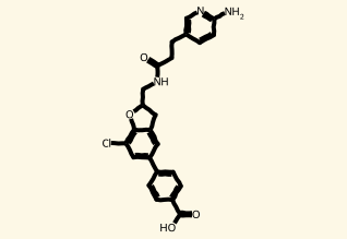 Nc1ccc(CCC(=O)NCC2Cc3cc(-c4ccc(C(=O)O)cc4)cc(Cl)c3O2)cn1